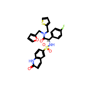 O=C([C@@H](NS(=O)(=O)c1ccc2[nH]c(=O)ccc2c1)c1ccc(F)cc1)N(Cc1ccco1)Cc1cccs1